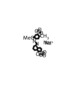 COc1cc(S(=O)(=O)[O-])c(C)cc1N=Nc1cccc2c(O)c(S(=O)(=O)[O-])ccc12.[Na+].[Na+]